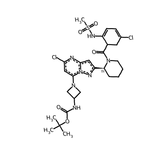 CC(C)(C)OC(=O)NC1CN(c2cc(Cl)nc3cc([C@@H]4CCCCN4C(=O)C4CC(Cl)=CC=C4NS(C)(=O)=O)nn23)C1